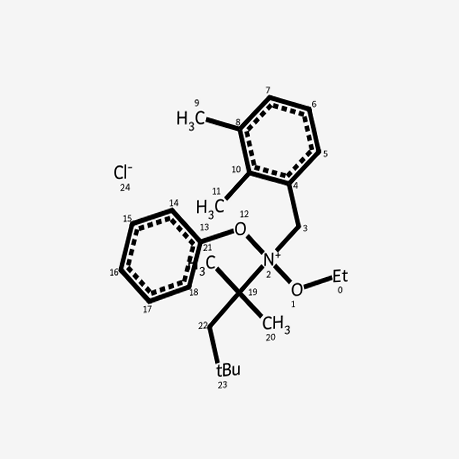 CCO[N+](Cc1cccc(C)c1C)(Oc1ccccc1)C(C)(C)CC(C)(C)C.[Cl-]